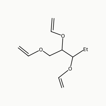 C=COCC(OC=C)C(CC)OC=C